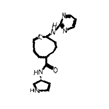 O=C(N[C@@H]1CCNC1)C1CCCCC(Nc2ncccn2)CCC1